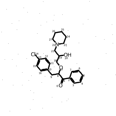 O=C(c1ccccc1)C(Cc1ccc(Cl)cc1)OCC(O)CN1CCCCC1